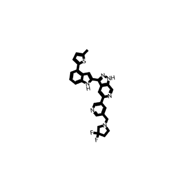 Cc1ccc(-c2cccc3[nH]c(-c4n[nH]c5cnc(-c6cncc(CN7CCC(F)(F)C7)c6)cc45)cc23)s1